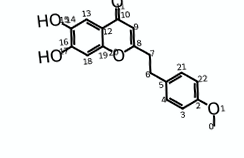 COc1ccc(CCc2cc(=O)c3cc(O)c(O)cc3o2)cc1